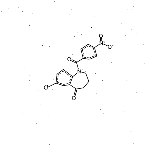 O=C1CCCN(C(=O)c2ccc([N+](=O)[O-])cc2)c2ccc(Cl)cc21